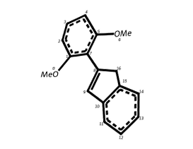 COc1cccc(OC)c1C1=Cc2ccccc2C1